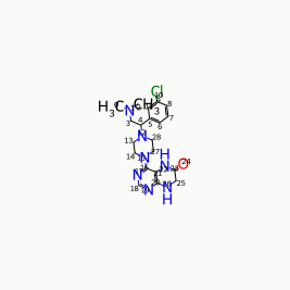 CN(C)CC(c1cccc(Cl)c1)N1CCN(c2ncnc3c2NC(=O)CN3)CC1